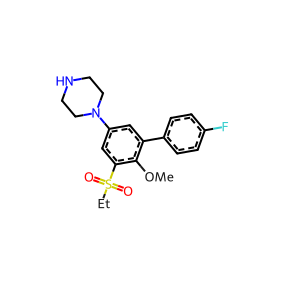 CCS(=O)(=O)c1cc(N2CCNCC2)cc(-c2ccc(F)cc2)c1OC